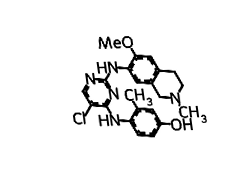 COc1cc2c(cc1Nc1ncc(Cl)c(Nc3ccc(O)cc3C)n1)CN(C)CC2